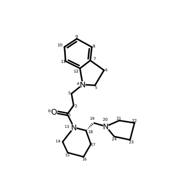 O=C(CCN1CCc2ccccc21)N1CCCC[C@H]1CN1CCCC1